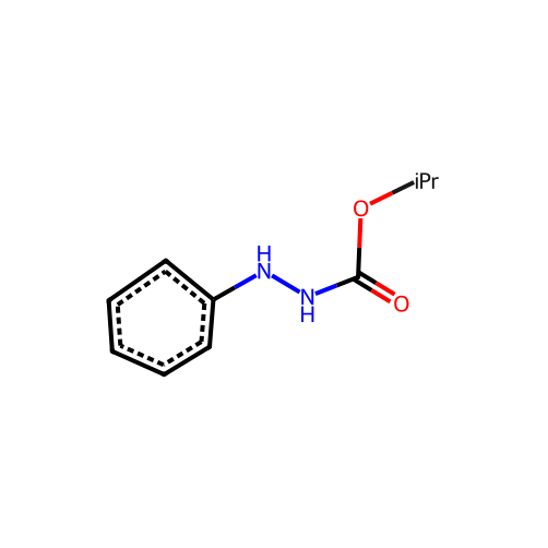 CC(C)OC(=O)NNc1ccccc1